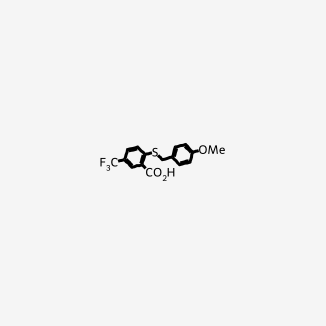 COc1ccc(CSc2ccc(C(F)(F)F)cc2C(=O)O)cc1